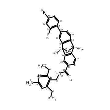 CCc1cc(N)nc(CC)c1CNC(=O)c1ccc2c(c1)[C@@H]1O[C@H]2c2ccc(-c3ccc(F)cc3F)cc21